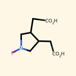 O=C(O)CC1CN(I)CC1CC(=O)O